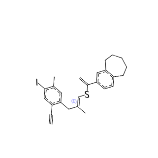 C#Cc1cc(I)c(C)cc1C/C(C)=C/SC(=C)c1ccc2c(c1)CCCCC2